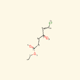 CCOC(=O)CCC(=O)C=CCl